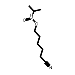 CC(C)[PH](=O)OCCCCCC#N